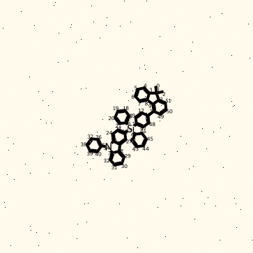 CC1(C)c2ccccc2-c2c(-c3ccc([Si](c4ccccc4)(c4ccc5c(c4)c4ccccc4n5-c4ccccc4)C4C=CC=CC4)cc3)cccc21